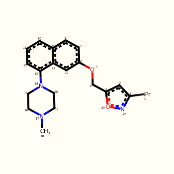 CC(C)c1cc(COc2ccc3cccc(N4CCN(C)CC4)c3c2)on1